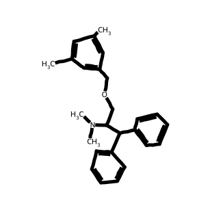 Cc1cc(C)cc(COCC(C(c2ccccc2)c2ccccc2)N(C)C)c1